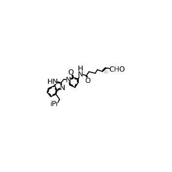 CC(C)Cc1cccc2[nH]c(Cn3cccc(NC(=O)CCC/C=C/C=O)c3=O)nc12